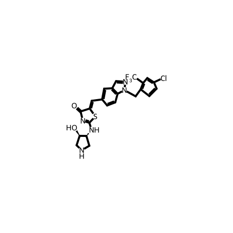 O=C1N=C(N[C@@H]2CNC[C@H]2O)S/C1=C\c1ccc2c(cnn2Cc2ccc(Cl)cc2C(F)(F)F)c1